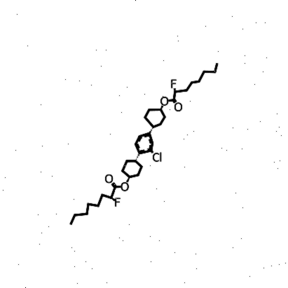 CCCCCC[C@H](F)C(=O)O[C@H]1CC[C@H](c2ccc([C@H]3CC[C@H](OC(=O)[C@@H](F)CCCCCC)CC3)c(Cl)c2)CC1